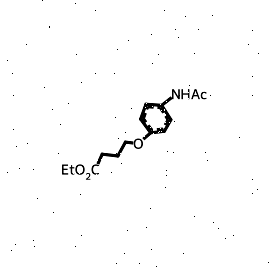 CCOC(=O)CCCOc1ccc(NC(C)=O)cc1